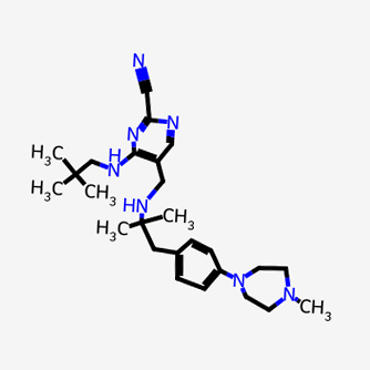 CN1CCN(c2ccc(CC(C)(C)NCc3cnc(C#N)nc3NCC(C)(C)C)cc2)CC1